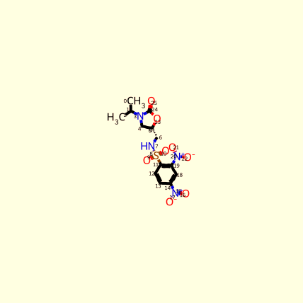 CC(C)N1C[C@@H](CNS(=O)(=O)c2ccc([N+](=O)[O-])cc2[N+](=O)[O-])OC1=O